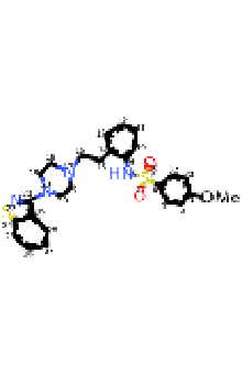 COc1ccc(S(=O)(=O)Nc2ccccc2CCN2CCN(c3nsc4ccccc34)CC2)cc1